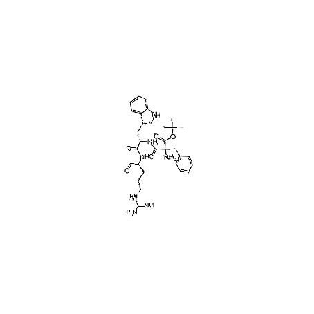 CC(C)(C)OC(=O)[C@](N)(Cc1ccccc1)C(=O)N[C@@H](Cc1c[nH]c2ccccc12)C(=O)N[C@H](C=O)CCCNC(=N)N